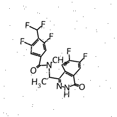 C[C@@H](c1n[nH]c(=O)c2cc(F)c(F)cc12)N(C)C(=O)c1cc(F)c(C(F)F)c(F)c1